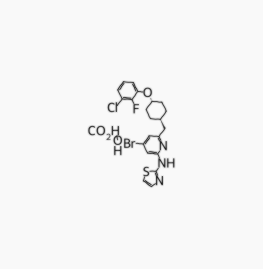 Fc1c(Cl)cccc1O[C@H]1CC[C@H](Cc2cc(Br)cc(Nc3nccs3)n2)CC1.O=C(O)O